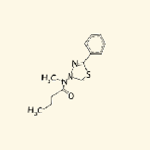 CCCC(=O)N(C)N1[CH]SC(c2ccccc2)=N1